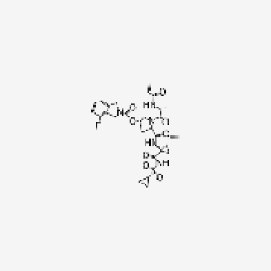 C=CC(=O)N[C@H](C)C(=O)N1C[C@H](OC(=O)N2Cc3cccc(F)c3C2)CC1C(=O)N[C@]1(C(=O)NS(=O)(=O)C2CC2)C[C@H]1C=C